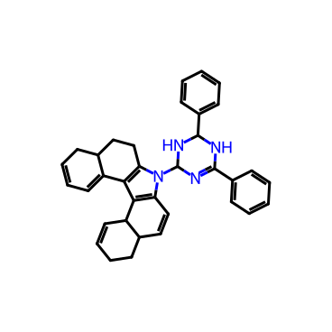 C1=CCC2CCc3c(c4c(n3C3N=C(c5ccccc5)NC(c5ccccc5)N3)C=CC3CCC=CC43)C2=C1